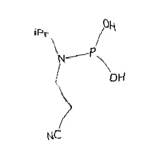 CC(C)N(CCC#N)P(O)O